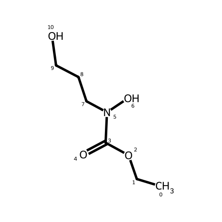 CCOC(=O)N(O)CCCO